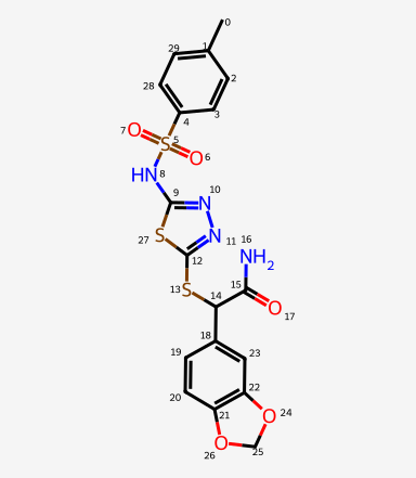 Cc1ccc(S(=O)(=O)Nc2nnc(SC(C(N)=O)c3ccc4c(c3)OCO4)s2)cc1